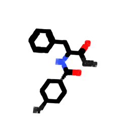 COC(=O)C(Cc1ccccc1)NC(=O)[C@H]1CC[C@H](C(C)C)CC1